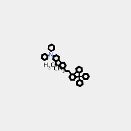 CC1(C)c2cc(/C=C/c3cccc4c3-c3ccccc3C4(c3ccccc3)c3ccccc3)ccc2-c2ccc(N(c3ccccc3)C3C=CC=CC3)cc21